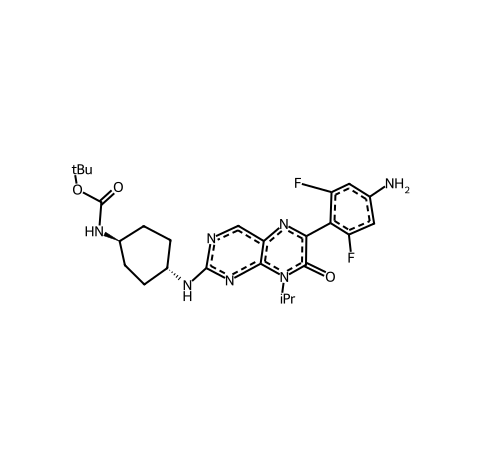 CC(C)n1c(=O)c(-c2c(F)cc(N)cc2F)nc2cnc(N[C@H]3CC[C@H](NC(=O)OC(C)(C)C)CC3)nc21